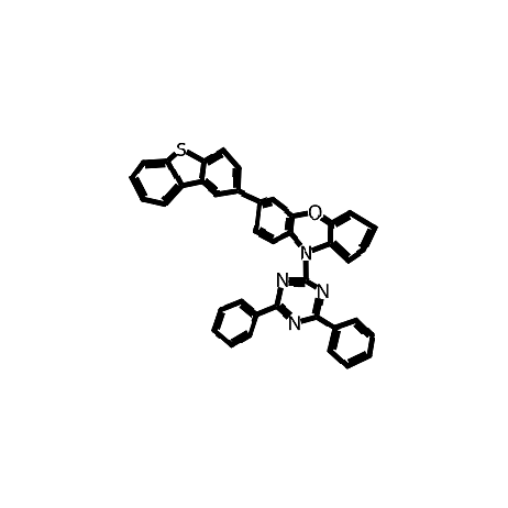 c1ccc(-c2nc(-c3ccccc3)nc(N3c4ccccc4Oc4cc(-c5ccc6sc7ccccc7c6c5)ccc43)n2)cc1